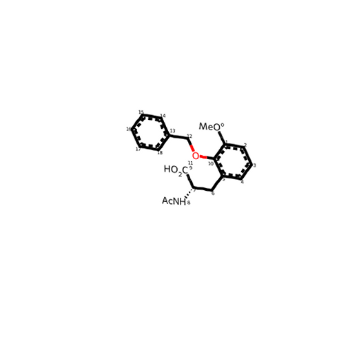 COc1cccc(C[C@H](NC(C)=O)C(=O)O)c1OCc1ccccc1